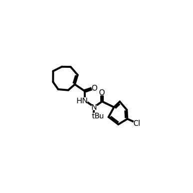 CC(C)(C)N(NC(=O)C1=CCCCCCC1)C(=O)c1ccc(Cl)cc1